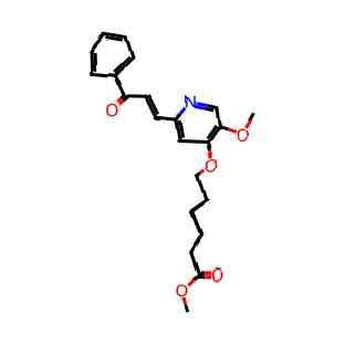 COC(=O)CCCCCOc1cc(C=CC(=O)c2ccccc2)ncc1OC